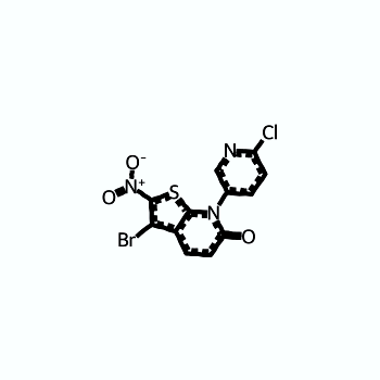 O=c1ccc2c(Br)c([N+](=O)[O-])sc2n1-c1ccc(Cl)nc1